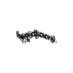 CC(C)(C)OC(=O)N1CC2(CCN(c3ccc(-n4cnc5ccc(Oc6c(F)ccc(NS(=O)(=O)N7CC[C@@H](F)C7)c6C#N)cc5c4=O)cc3)CC2)C1